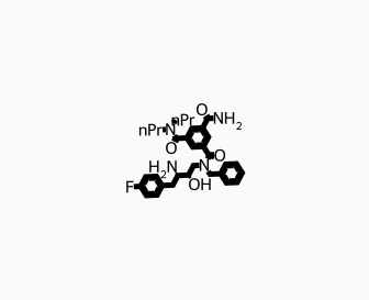 CCCN(CCC)C(=O)c1cc(C(N)=O)cc(C(=O)N(Cc2ccccc2)C[C@@H](O)[C@@H](N)Cc2ccc(F)cc2)c1